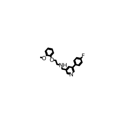 COc1ccccc1OCCNCc1cncc(-c2ccc(F)cc2)c1